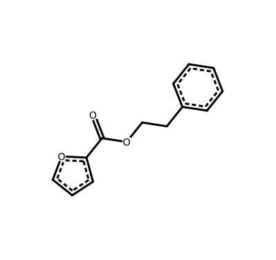 O=C(OCCc1ccccc1)c1ccco1